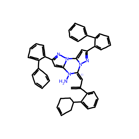 C=C(/C=C1\N(N)c2cc(-c3ccccc3-c3ccccc3)nn2-c2cc(-c3ccccc3-c3ccccc3)nn21)c1ccccc1C1CC=CCC1